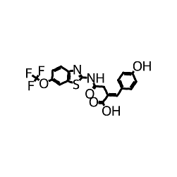 O=C(C/C(=C\c1ccc(O)cc1)C(=O)O)Nc1nc2ccc(OC(F)(F)F)cc2s1